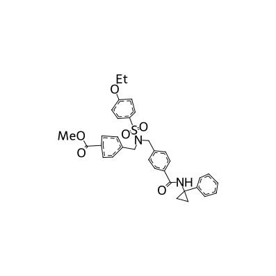 CCOc1ccc(S(=O)(=O)N(Cc2ccc(C(=O)NC3(c4ccccc4)CC3)cc2)Cc2ccc(C(=O)OC)cc2)cc1